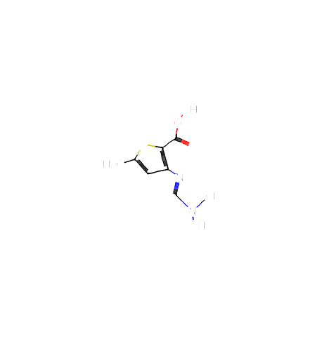 COC(=O)c1sc(C)cc1N=CN(C)C